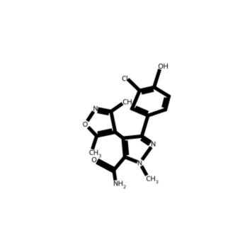 Cc1noc(C)c1-c1c(-c2ccc(O)c(Cl)c2)nn(C)c1C(N)=O